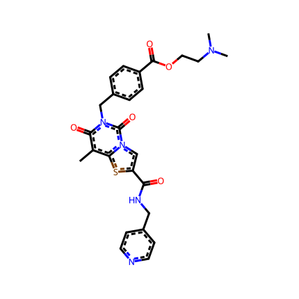 Cc1c(=O)n(Cc2ccc(C(=O)OCCN(C)C)cc2)c(=O)n2cc(C(=O)NCc3ccncc3)sc12